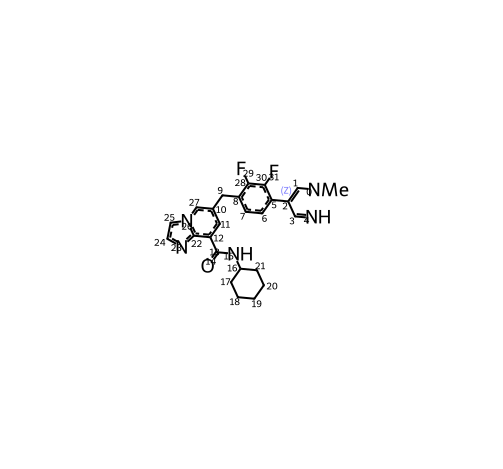 CN/C=C(\C=N)c1ccc(Cc2cc(C(=O)NC3CCCCC3)c3nccn3c2)c(F)c1F